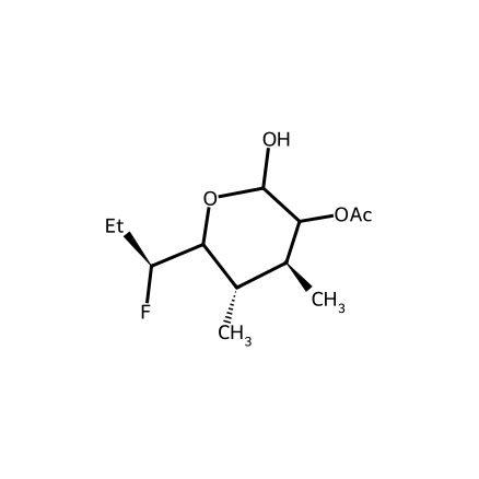 CC[C@H](F)C1OC(O)C(OC(C)=O)[C@@H](C)[C@@H]1C